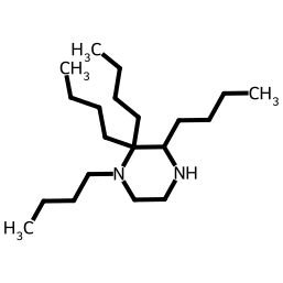 CCCCC1NCCN(CCCC)C1(CCCC)CCCC